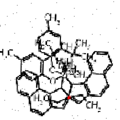 CCC1=Cc2ccc3ccccc3c2[CH]1[Zr]([CH3])([CH3])(=[SiH2])([O]c1ccc(C)cc1C(C)(C)C)([O]c1ccc(C)cc1C(C)(C)C)[CH]1C(CC)=Cc2ccc3ccccc3c21